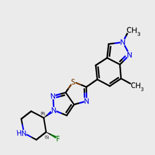 Cc1cc(-c2nc3cn([C@@H]4CCNC[C@@H]4F)nc3s2)cc2cn(C)nc12